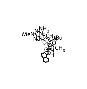 CNc1nc(N)nc2c1ncn2[C@@H]1O[C@](F)(COP(=O)(N[C@@H](C)C(=O)OCC(C)(C)C)Oc2cccc3ccccc23)[C@@H](O)[C@@]1(C)F